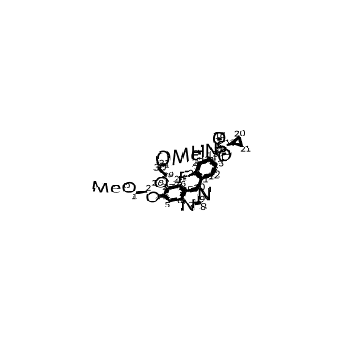 COCCOc1cc2ncnc(-c3ccc(NS(=O)(=O)C4CC4)cc3F)c2cc1OCCOC